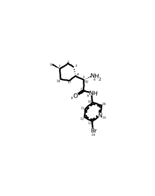 C[C@H]1CC[C@H]([C@H](N)C(=O)Nc2ccc(Br)nc2)CC1